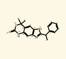 CC(c1ccccc1)c1nc2cc3c(cc2[nH]1)C(C)(C)OC(=O)N3